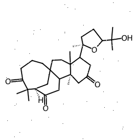 CC(C)(O)C1CC[C@](C)(C2CC(=O)C[C@@]3(C)C4CC(=O)[C@@H]5CC4(CCCC(=O)C5(C)C)CCC23C)O1